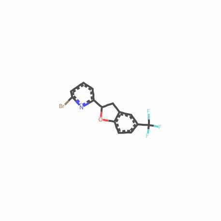 FC(F)(F)c1ccc2c(c1)CC(c1cccc(Br)n1)O2